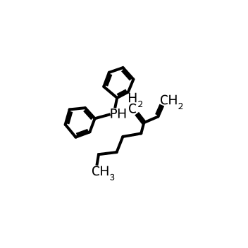 C=CC(=C)CCCCC.c1ccc(Pc2ccccc2)cc1